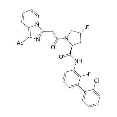 CC(=O)c1nc(CC(=O)N2C[C@H](F)C[C@H]2C(=O)Nc2cccc(-c3ccccc3Cl)c2F)n2ccccc12